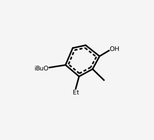 CCc1c(OCC(C)C)ccc(O)c1C